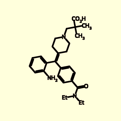 CCN(CC)C(=O)c1ccc(C(=C2CCN(CC(C)(C)C(=O)O)CC2)c2ccccc2N)cc1